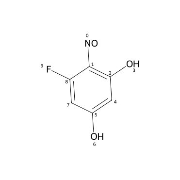 O=Nc1c(O)cc(O)cc1F